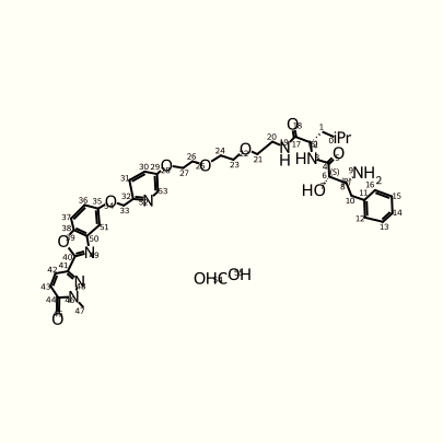 CC(C)C[C@H](NC(=O)[C@@H](O)[C@H](N)Cc1ccccc1)C(=O)NCCOCCOCCOc1ccc(COc2ccc3oc(-c4ccc(=O)n(C)n4)nc3c2)nc1.O=CO